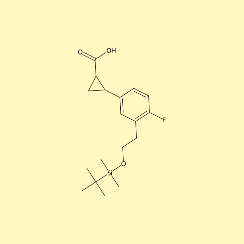 CC(C)(C)[Si](C)(C)OCCc1cc(C2CC2C(=O)O)ccc1F